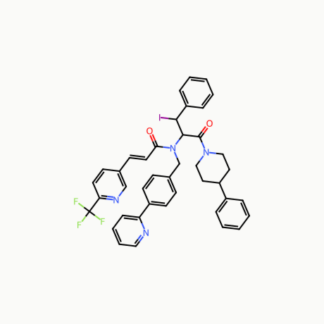 O=C(C(C(I)c1ccccc1)N(Cc1ccc(-c2ccccn2)cc1)C(=O)C=Cc1ccc(C(F)(F)F)nc1)N1CCC(c2ccccc2)CC1